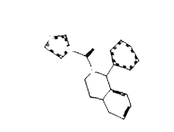 O=C(N1CCC2CC=CC=C2C1c1ccccc1)n1ccnc1